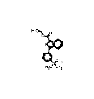 CCOC(=O)c1nc(-c2cccc(S(C)(C)C)c2)c2ccccn12